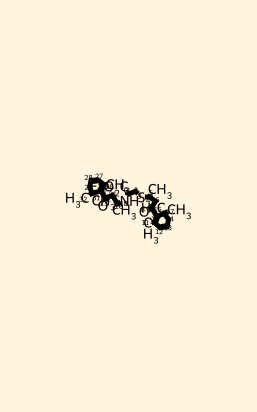 CCOC(=O)C(CSC(C)CC(=O)C1=C(C)C=CCC1(C)C)NC(C)CC(=O)C1=C(C)C=CCC1(C)C